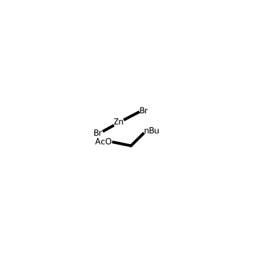 [Br][Zn][Br].[CH2]CCCCOC(C)=O